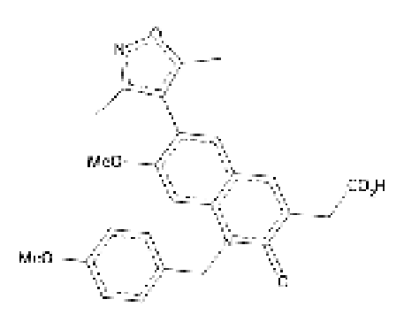 COc1ccc(Cn2c(=O)c(CC(=O)O)cc3cc(-c4c(C)noc4C)c(OC)cc32)cc1